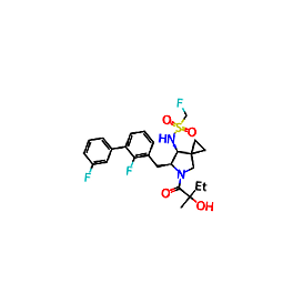 CCC(C)(O)C(=O)N1CC2(CC2)[C@H](NS(=O)(=O)CF)[C@@H]1Cc1cccc(-c2cccc(F)c2)c1F